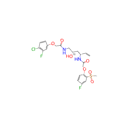 C=CC(C[C@H](O)CNC(=O)COc1ccc(Cl)c(F)c1)NC(=O)COc1ccc(F)cc1S(C)(=O)=O